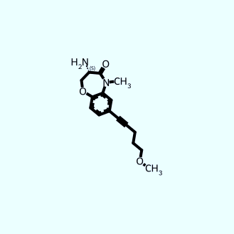 COCCCC#Cc1ccc2c(c1)N(C)C(=O)[C@@H](N)CO2